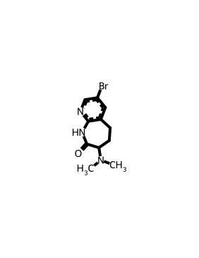 CN(C)C1CCc2cc(Br)cnc2NC1=O